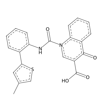 Cc1csc(-c2ccccc2NC(=O)n2cc(C(=O)O)c(=O)c3ccccc32)c1